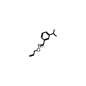 C=CCO/N=C/c1cccc(C(C)C)c1